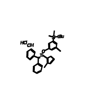 CC1=[C]([Ti]([O]c2cc(C)cc([Si](C)(C)C(C)(C)C)c2)=[C](c2ccccc2)c2ccccc2)CC=C1.Cl.Cl